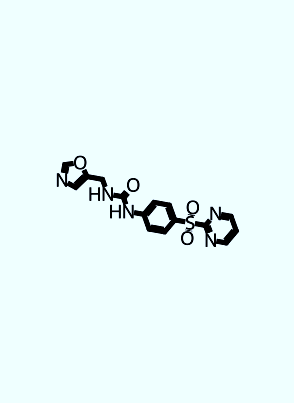 O=C(NCc1cnco1)Nc1ccc(S(=O)(=O)c2ncccn2)cc1